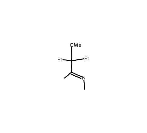 CCC(CC)(OC)C(C)=NC